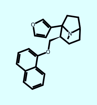 CN1C2CC[C@@H](COc3cccc4ccccc34)C1(c1ccoc1)CC2